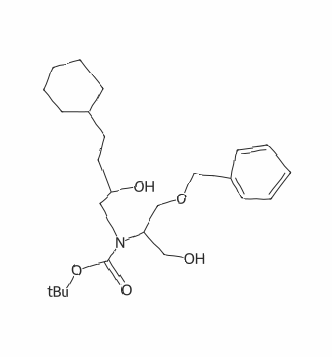 CC(C)(C)OC(=O)N(CC(O)CCC1CCCCC1)C(CO)COCc1ccccc1